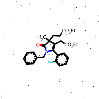 CCOC(=O)CCC1(C)C(=O)N(Cc2ccccc2)C(c2ccccc2F)=C1CC(=O)OCC